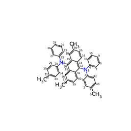 Cc1ccc(N(c2ccccc2)c2c3ccc(C)cc3c(N(c3ccccc3)c3ccc(C)cc3)c3cc(C)ccc23)cc1